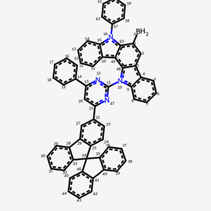 Bc1cc2c3ccccc3n(-c3nc(-c4ccccc4)cc(-c4ccc5c(c4)-c4ccccc4C54c5ccccc5-c5ccccc54)n3)c2c2c3ccccc3n(-c3ccccc3)c12